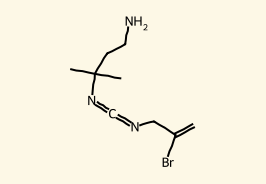 C=C(Br)CN=C=NC(C)(C)CCN